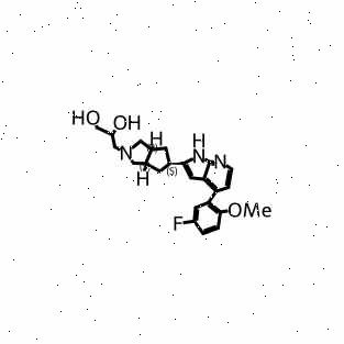 COc1ccc(F)cc1-c1ccnc2[nH]c([C@H]3C[C@@H]4CN(CC(O)CO)C[C@@H]4C3)cc12